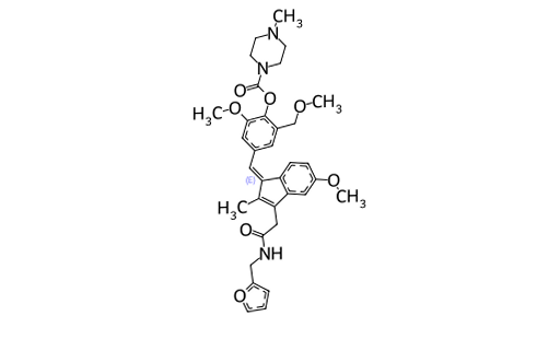 COCc1cc(/C=C2/C(C)=C(CC(=O)NCc3ccco3)c3cc(OC)ccc32)cc(OC)c1OC(=O)N1CCN(C)CC1